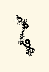 Cc1nnc2n1-c1sc(C#Cc3cnn(CC(=O)OCCCOc4cccc5c4CN(C4CCC(=O)NC4=O)C5=O)c3)c(Cc3ccccc3)c1COC2